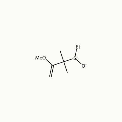 C=C(OC)C(C)(C)[S+]([O-])CC